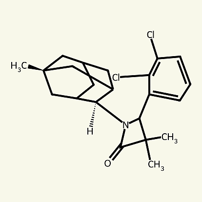 CC1(C)C(=O)N([C@H]2C3CC4CC2C[C@@](C)(C4)C3)C1c1cccc(Cl)c1Cl